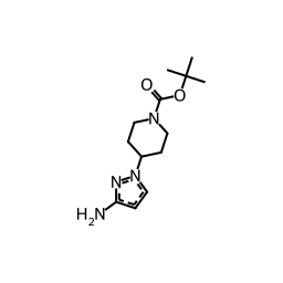 CC(C)(C)OC(=O)N1CCC(n2ccc(N)n2)CC1